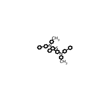 Cc1ccc(N(c2ccc(-c3ccccc3)cc2)c2ccc3c(c2)sc2cc(N(c4ccc(C)cc4)c4ccc(-c5ccccc5)cc4)c4ccccc4c23)cc1